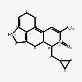 CC1=CC2=C3CCC=C4NCC(=C43)CC2C(CC2CC2)[N+]1=O